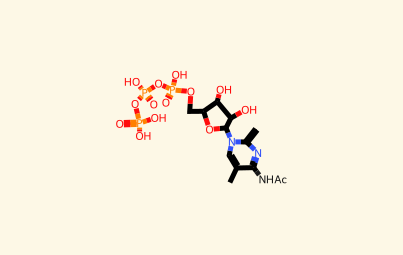 C=C1N=C(NC(C)=O)C(C)=CN1C1OC(COP(=O)(O)OP(=O)(O)OP(=O)(O)O)C(O)C1O